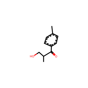 Cc1ccc(C(=O)C(C)CO)cc1